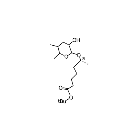 CC1CC(O)C(O[C@H](C)CCCCC(=O)OC(C)(C)C)OC1C